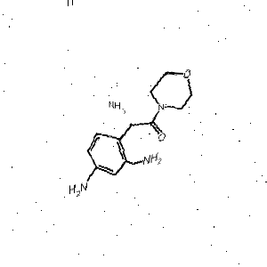 N.Nc1ccc(CC(=O)N2CCOCC2)c(N)c1